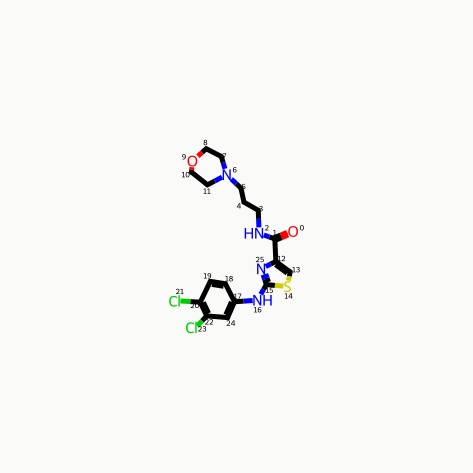 O=C(NCCCN1CCOCC1)c1csc(Nc2ccc(Cl)c(Cl)c2)n1